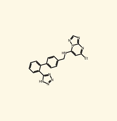 CCc1cc(NCc2ccc(-c3ccccc3-c3nnn[nH]3)cc2)n2ncnc2n1